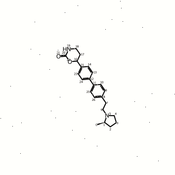 C[C@@H]1CCCN1CCc1ccc(-c2ccc(C3CCNC(=O)O3)cc2)cc1